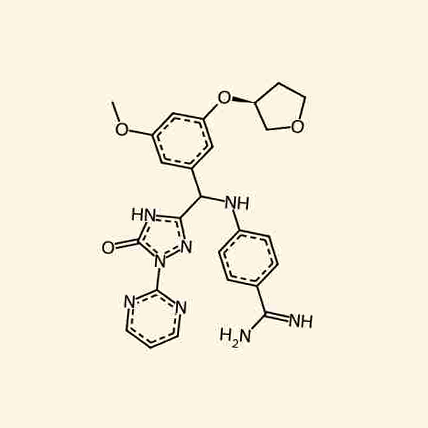 COc1cc(O[C@H]2CCOC2)cc(C(Nc2ccc(C(=N)N)cc2)c2nn(-c3ncccn3)c(=O)[nH]2)c1